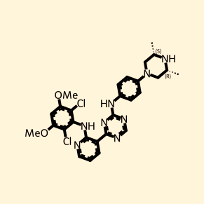 COc1cc(OC)c(Cl)c(Nc2ncccc2-c2ncnc(Nc3ccc(N4C[C@@H](C)N[C@@H](C)C4)cc3)n2)c1Cl